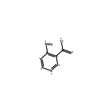 C=C(Cl)c1cnccc1NC